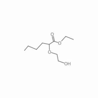 CCCCC(OCCO)C(=O)OCC